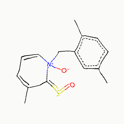 CC1=CC=C[N+]([O-])(Cc2cc(C)ccc2C)C1=S=O